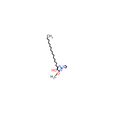 CCCCCCCCCCCCCCCCc1nc(N2CCC2)nc(OCC)c1O